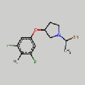 CC(S)N1CCC(Oc2cc(F)c(C#N)c(F)c2)C1